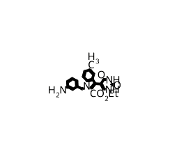 CCOC(=O)c1c(-c2c[nH]c(=O)[nH]c2=O)c2cc(C)ccc2n1Cc1cccc(N)c1